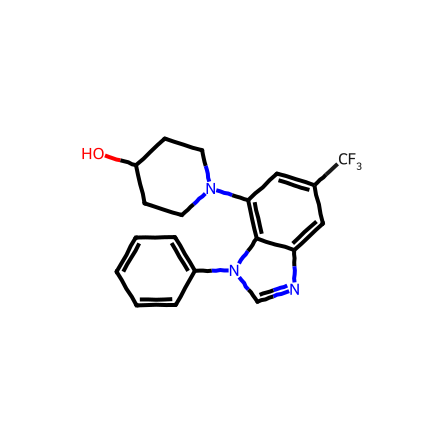 OC1CCN(c2cc(C(F)(F)F)cc3ncn(-c4ccccc4)c23)CC1